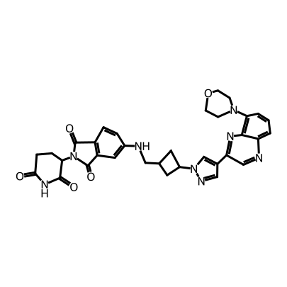 O=C1CCC(N2C(=O)c3ccc(NCC4CC(n5cc(-c6cnc7cccc(N8CCOCC8)c7n6)cn5)C4)cc3C2=O)C(=O)N1